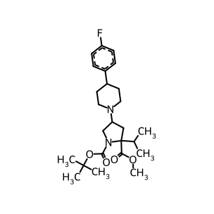 COC(=O)C1(C(C)C)CC(N2CCC(c3ccc(F)cc3)CC2)CN1C(=O)OC(C)(C)C